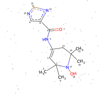 CC1(C)C=C(NC(=O)c2cnsn2)CC(C)(C)N1O